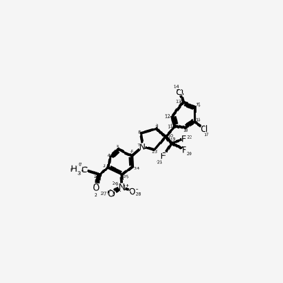 CC(=O)c1ccc(N2CCC(c3cc(Cl)cc(Cl)c3)(C(F)(F)F)C2)cc1[N+](=O)[O-]